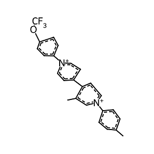 Cc1ccc(-[n+]2ccc(-c3cc[n+](-c4ccc(OC(F)(F)F)cc4)cc3)c(C)c2)cc1